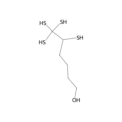 OCCCCC(S)C(S)(S)S